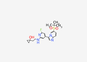 CC(C)(C)S(=O)(=O)c1ccc2ncc(-c3cc(F)nc(NCCC4(O)CC4)c3)n2c1